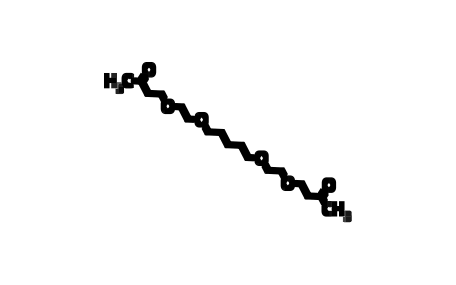 CC(=O)CCOCCOCCCCCOCCOCCC(C)=O